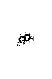 O=C1CCc2ccc(I)cc2O1